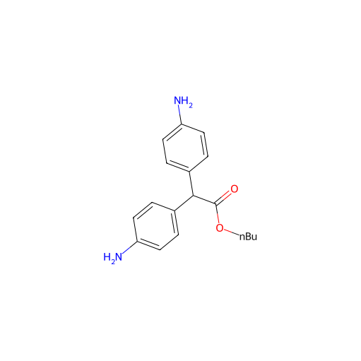 CCCCOC(=O)C(c1ccc(N)cc1)c1ccc(N)cc1